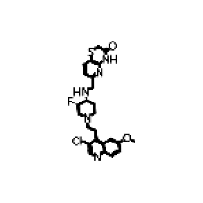 COc1ccc2ncc(Cl)c(CCN3CC[C@@H](NCc4ccc5c(n4)NC(=O)CS5)[C@@H](F)C3)c2c1